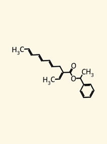 CC=CC=CC=CCC(=CC)C(=O)OC(C)c1ccccc1